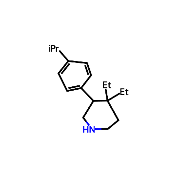 CCC1(CC)CCNCC1c1ccc(C(C)C)cc1